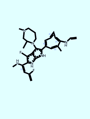 C=CNC1=C\C=C\C=C(c2[nH]c3[nH]c(/C(=C\C(=C)F)NC)c(F)c3c2N2CCCN(C)CC2C)/C=C\1C